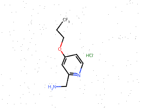 Cl.NCc1cc(OCCC(F)(F)F)ccn1